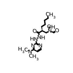 CCCCC[C@@H](CN(O)C=O)C(=O)NNc1nccc(N(C)C)n1